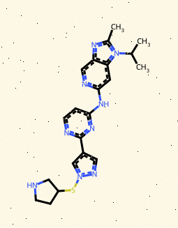 Cc1nc2cnc(Nc3ccnc(-c4cnn(SC5CCNC5)c4)n3)cc2n1C(C)C